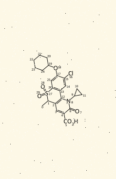 CC1c2cc(C(=O)O)c(=O)n(C3CC3)c2-c2cc(Cl)c(OC3CCCCC3)cc2S1(=O)=O